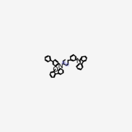 C/C=C(\C=C/Cc1cccc(-n2c3ccccc3c3ccccc32)c1)N(c1ccc(-c2ccccc2)cc1)c1cccc2c1oc1ccccc12